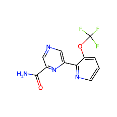 NC(=O)c1cncc(-c2ncccc2OC(F)(F)F)n1